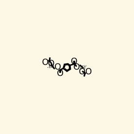 CC(=O)O[C@@H](C)COC(=O)c1ccc(C(=O)OC[C@H](C)OC(C)=O)cc1